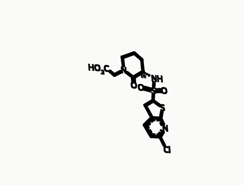 O=C(O)CN1CCC[C@H](NS(=O)(=O)C2Cc3ccc(Cl)nc3S2)C1=O